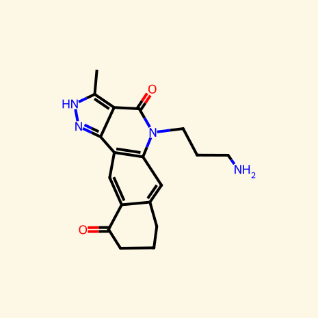 Cc1[nH]nc2c1c(=O)n(CCCN)c1cc3c(cc21)C(=O)CCC3